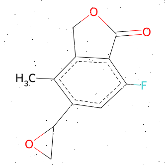 Cc1c(C2CO2)cc(F)c2c1COC2=O